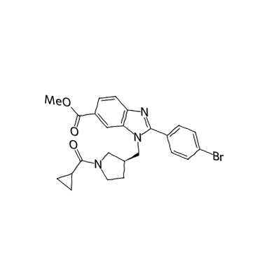 COC(=O)c1ccc2nc(-c3ccc(Br)cc3)n(C[C@H]3CCN(C(=O)C4CC4)C3)c2c1